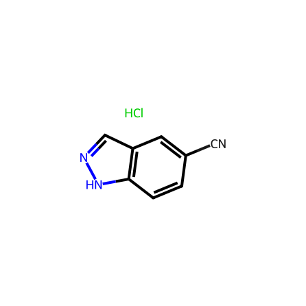 Cl.N#Cc1ccc2[nH]ncc2c1